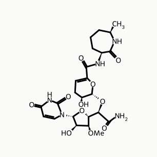 CO[C@H]1[C@@H](O)[C@H](n2ccc(=O)[nH]c2=O)O[C@@H]1[C@@H](O[C@H]1OC(C(=O)N[C@H]2CCC[C@@H](C)NC2=O)=CC[C@@H]1O)C(N)=O